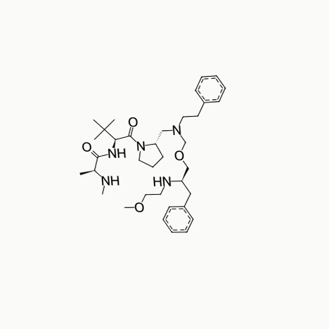 CN[C@@H](C)C(=O)N[C@H](C(=O)N1CCC[C@H]1CN(CCc1ccccc1)COC[C@@H](Cc1ccccc1)NCCOC)C(C)(C)C